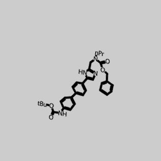 CCCN(Cc1ncc(-c2ccc(-c3ccc(NC(=O)OC(C)(C)C)cc3)cc2)[nH]1)C(=O)OCc1ccccc1